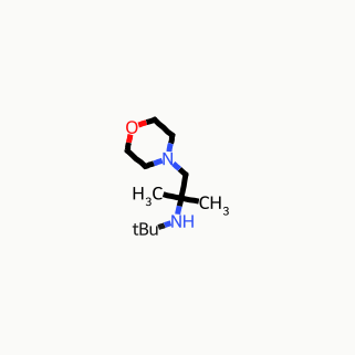 CC(C)(C)NC(C)(C)CN1CCOCC1